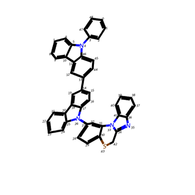 c1ccc(-n2c3ccccc3c3cc(-c4ccc5c(c4)c4ccccc4n5-c4ccc5c(c4)-n4c(nc6ccccc64)CS5)ccc32)cc1